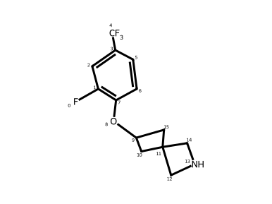 Fc1cc(C(F)(F)F)ccc1OC1CC2(CNC2)C1